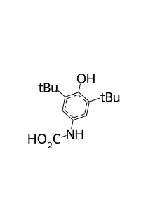 CC(C)(C)c1cc(NC(=O)O)cc(C(C)(C)C)c1O